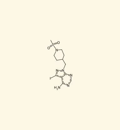 CS(=O)(=O)N1CCC(Cn2nc(I)c3c(N)ncnc32)CC1